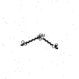 C=CC(=O)OCCCCCCCCOP(=O)(O)OCCCCCCCCOC(=O)C=C